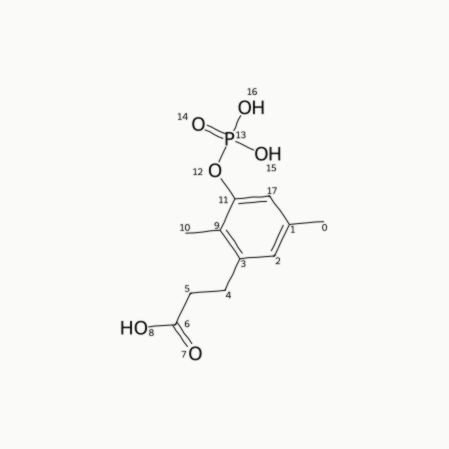 Cc1cc(CCC(=O)O)c(C)c(OP(=O)(O)O)c1